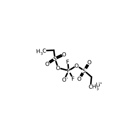 CCS(=O)(=O)OP([O-])(F)(F)OS(=O)(=O)CC.[Li+]